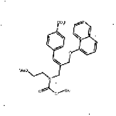 COCCN(CC(=Cc1ccc(C(=O)O)cc1)COc1cccc2ccccc12)C(=O)OC(C)(C)C